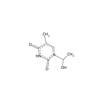 Cc1cn(C(C)O)c(=O)[nH]c1=O